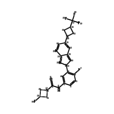 O=C(Nc1ccc(F)c(-n2cc3cc(N4CC(C(F)(F)F)C4)cnc3n2)c1)N1CC(F)C1